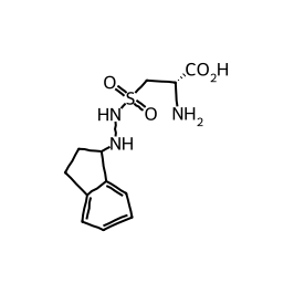 N[C@H](CS(=O)(=O)NNC1CCc2ccccc21)C(=O)O